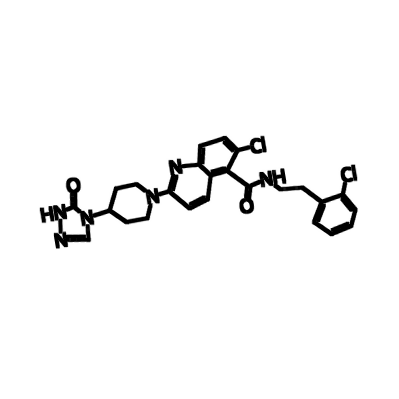 O=C(NCCc1ccccc1Cl)c1c(Cl)ccc2nc(N3CCC(n4cn[nH]c4=O)CC3)ccc12